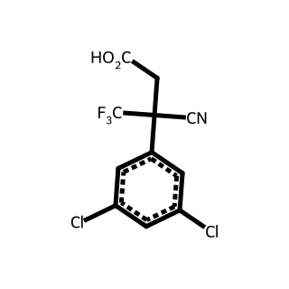 N#CC(CC(=O)O)(c1cc(Cl)cc(Cl)c1)C(F)(F)F